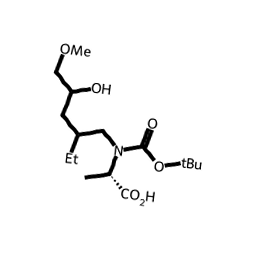 CCC(CC(O)COC)CN(C(=O)OC(C)(C)C)[C@@H](C)C(=O)O